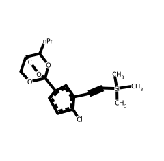 CCCC1OC2(c3ccc(Cl)c(C#C[Si](C)(C)C)c3)OCC1CO2